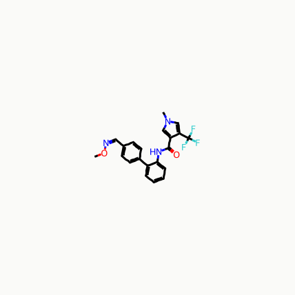 CO/N=C\c1ccc(-c2ccccc2NC(=O)c2cn(C)cc2C(F)(F)F)cc1